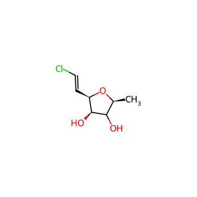 C[C@@H]1O[C@H](C=CCl)[C@H](O)C1O